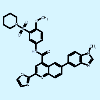 COc1ccc(NC(=O)c2cc(-c3ncco3)nc3ccc(-c4ccc5c(c4)ncn5C)cc23)cc1S(=O)(=O)N1CCCCC1